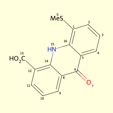 CSc1cccc2c(=O)c3cccc(C(=O)O)c3[nH]c12